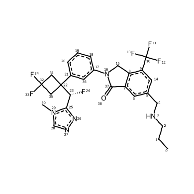 CCCNCc1cc2c(c(C(F)(F)F)c1)CN(c1cccc(C3([C@H](F)c4nncn4C)CC(F)(F)C3)c1)C2=O